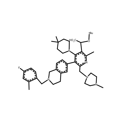 Cc1cc(F)ccc1CN1CCc2cc(-c3c(CN4CCN(C)CC4)nc(C)c(C(OC(C)(C)C)C(=O)O)c3N3CCC(C)(C)CC3)ccc2C1